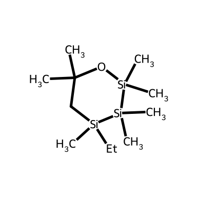 CC[Si]1(C)CC(C)(C)O[Si](C)(C)[Si]1(C)C